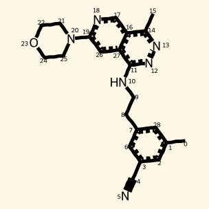 Cc1cc(C#N)cc(CCNc2nnc(C)c3cnc(N4CCOCC4)cc23)c1